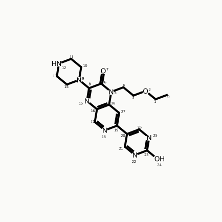 CCOCCn1c(=O)c(N2CCNCC2)nc2cnc(-c3cnc(O)nc3)cc21